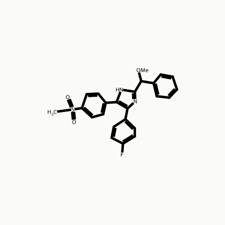 COC(c1ccccc1)c1nc(-c2ccc(F)cc2)c(-c2ccc(S(C)(=O)=O)cc2)[nH]1